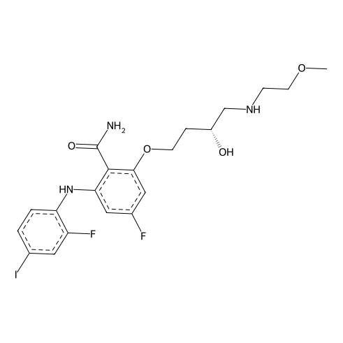 COCCNC[C@H](O)CCOc1cc(F)cc(Nc2ccc(I)cc2F)c1C(N)=O